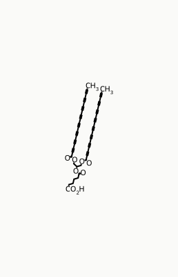 CC#CC#CC#CC#CC#CC#CC#CC#CC(=O)OCC(COC(=O)C#CC#CC#CC#CC#CC#CC#CC#CC)OC(=O)CCCCC(=O)O